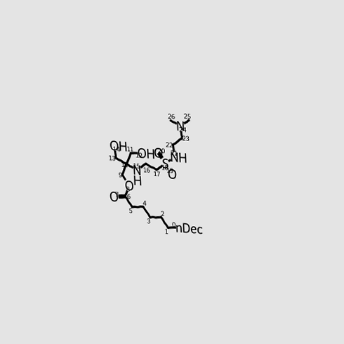 CCCCCCCCCCCCCCCC(=O)OCC(CO)(CO)NCCS(=O)(=O)NCCN(C)C